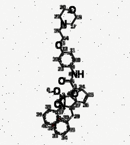 COC(=O)C1=C(C(=O)Nc2ccc(OCCN3CCOCC3)cc2)C2C=CC1(C(Cc1ccccc1)Nc1ccccc1)O2